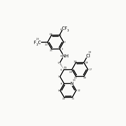 FC(F)(F)c1cc(NC[C@@H](Cc2ccccn2)c2cccc(Cl)c2)cc(C(F)(F)F)c1